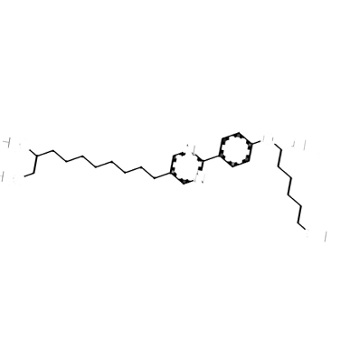 CCCCCC[C@@H](C)Oc1ccc(-c2ncc(CCCCCCCCC(C)CC)cn2)cc1